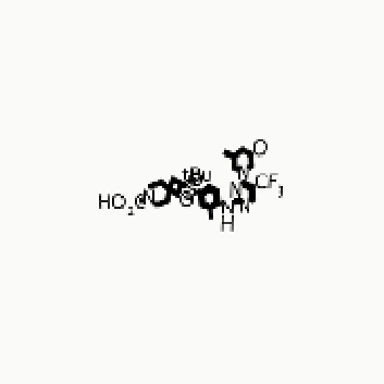 Cc1cc(S(=O)(=O)C2(C(C)(C)C)CC3(CCN(C(=O)O)CC3)C2)ccc1Nc1ncc(C(F)(F)F)c(N2CC(=O)CC(C)C2)n1